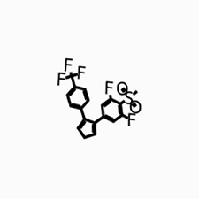 CS(=O)(=O)c1c(F)cc(C2=CCC=C2c2ccc(C(F)(F)F)cc2)cc1F